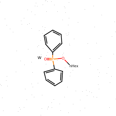 CCCCCCOP(=O)(c1ccccc1)c1ccccc1.[W]